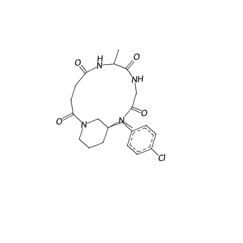 CC1NC(=O)CCC(=O)N2CCCC(Cc3ccc(Cl)cc3)(C2)N(C)C(=O)CNC1=O